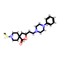 CSN1CCC2(CC1)CC(CCN1CCN(c3ccccc3)CC1)OC2=O